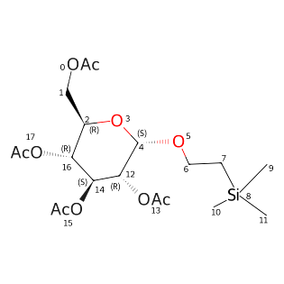 CC(=O)OC[C@H]1O[C@H](OCC[Si](C)(C)C)[C@H](OC(C)=O)[C@@H](OC(C)=O)[C@@H]1OC(C)=O